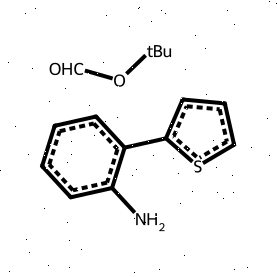 CC(C)(C)OC=O.Nc1ccccc1-c1cccs1